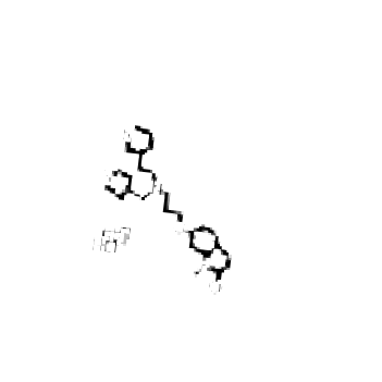 Cl.Cl.Cl.Cn1c(=O)ccc2ccc(OCCCN(CCc3cccnc3)Cc3ccncc3)cc21